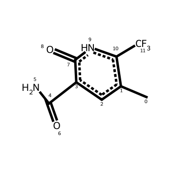 Cc1cc(C(N)=O)c(=O)[nH]c1C(F)(F)F